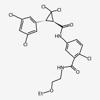 CCOCCNC(=O)c1cc(NC(=O)[C@H]2[C@H](c3cc(Cl)cc(Cl)c3)C2(Cl)Cl)ccc1Cl